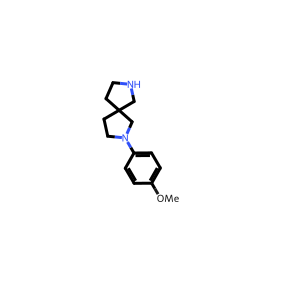 COc1ccc(N2CCC3(CCNC3)C2)cc1